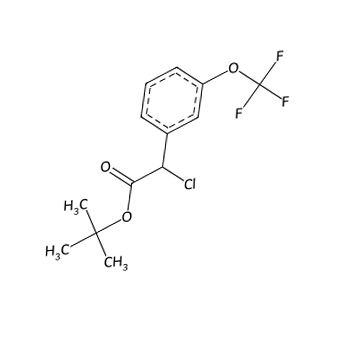 CC(C)(C)OC(=O)C(Cl)c1cccc(OC(F)(F)F)c1